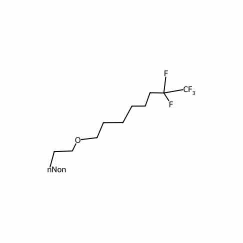 [CH2]CCCCCCCCCCOCCCCCCC(F)(F)C(F)(F)F